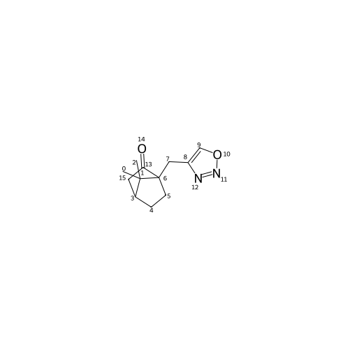 CC1(C)C2CCC1(Cc1conn1)C(=O)C2